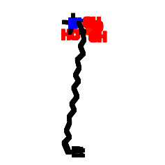 CC/C=C\CCCCCCCCCCCCCCCC(O)(C[N+](C)(C)C)P(=O)(O)O